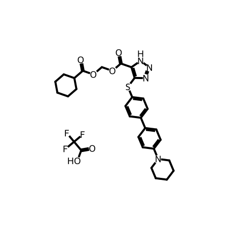 O=C(O)C(F)(F)F.O=C(OCOC(=O)C1CCCCC1)c1[nH]nnc1Sc1ccc(-c2ccc(N3CCCCC3)cc2)cc1